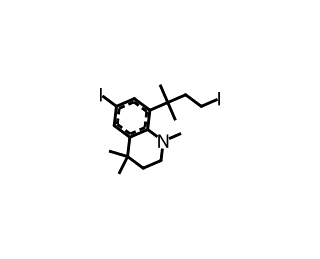 CN1CCC(C)(C)c2cc(I)cc(C(C)(C)CCI)c21